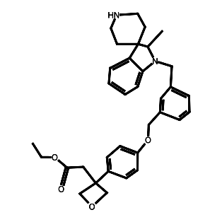 CCOC(=O)CC1(c2ccc(OCc3cccc(CN4c5ccccc5C5(CCNCC5)C4C)c3)cc2)COC1